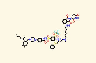 C=C(CCCC)C1=C(CN2CCN(c3ccc(C(=O)NS(=O)(=O)c4ccc(N[C@H](CCN(C)CCCCCCNc5cccc6c5C(=O)N(C5CCC(=O)NC5=O)C6=O)CSc5ccccc5)c(S(=O)(=O)C(F)(F)F)c4)cc3)CC2)CCC(C)(C)C1